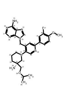 COc1ccc(-c2cc(Cn3cnc4c(N)ncnc43)c(N3CCC[C@](N)(COC(C)C)C3)cn2)cc1F